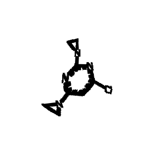 Clc1cc(N2CC2)nc(N2CC2)n1